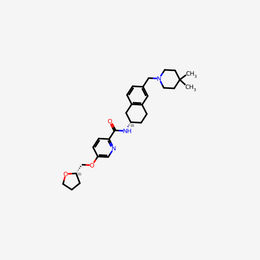 CC1(C)CCN(Cc2ccc3c(c2)CC[C@H](NC(=O)c2ccc(OC[C@@H]4CCCO4)cn2)C3)CC1